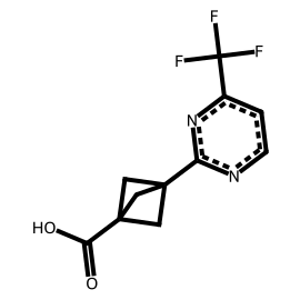 O=C(O)C12CC(c3nccc(C(F)(F)F)n3)(C1)C2